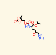 Cc1oc(=O)oc1COC(=O)N[C@@H](CCC(=O)C=[N+]=N)C(=O)OC(C)C